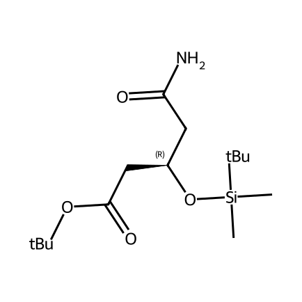 CC(C)(C)OC(=O)C[C@@H](CC(N)=O)O[Si](C)(C)C(C)(C)C